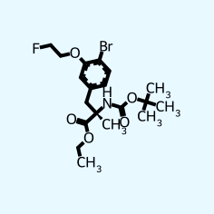 CCOC(=O)[C@](C)(Cc1ccc(Br)c(OCCF)c1)NC(=O)OC(C)(C)C